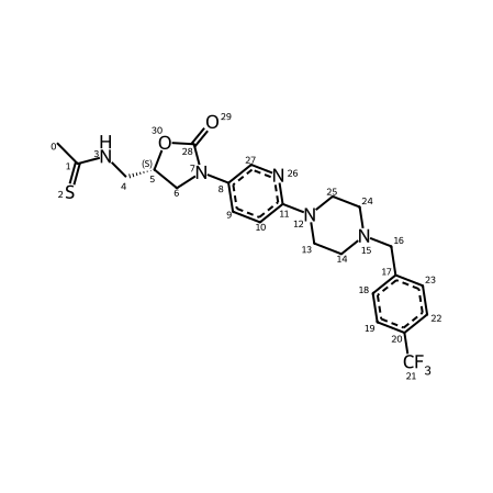 CC(=S)NC[C@H]1CN(c2ccc(N3CCN(Cc4ccc(C(F)(F)F)cc4)CC3)nc2)C(=O)O1